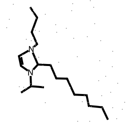 CCCCCCCCC1N(CCCC)C=CN1C(C)C